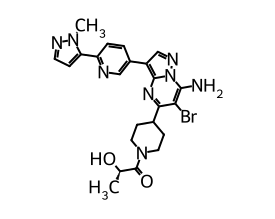 C[C@@H](O)C(=O)N1CCC(c2nc3c(-c4ccc(-c5ccnn5C)nc4)cnn3c(N)c2Br)CC1